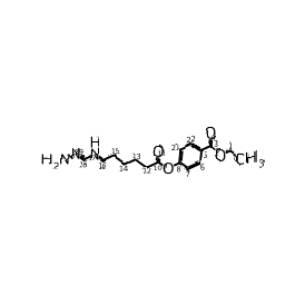 CCOC(=O)c1ccc(OC(=O)CCCCCNC=NN)cc1